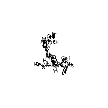 C#C[C@H]1CC(F)(F)CN1C(=O)CNC(=O)c1ccnc2ccc(OCCCN3CCN(C(=O)CC(=O)NC(=O)[C@H](CCCCCNC(=O)CCCc4ccc(I)cc4)NC(=O)CN4CCN(COC=O)CCN(COC=O)CCN(CC(=O)O)CC4)CC3)cc12